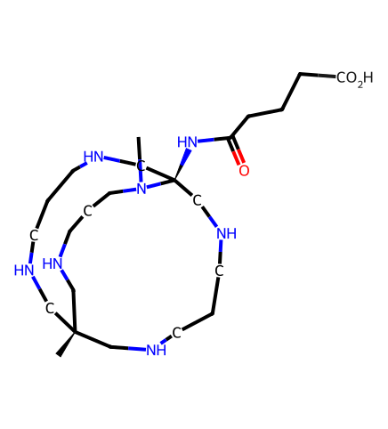 CN1CCCNC[C@]2(C)CNCCCNC[C@@]1(NC(=O)CCCC(=O)O)CNCCCNC2